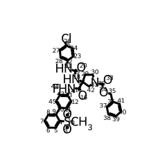 CS(=O)(=O)c1ccccc1-c1ccc(NC(=O)C2(NC(=O)Nc3ccc(Cl)cc3)CCN(C(=O)OCc3ccccc3)C2)c(F)c1